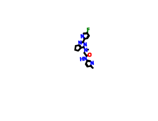 Cc1ccc(NC(=O)CN(C)c2nc(-c3ccc(F)cn3)nc3c2CCC3)cn1